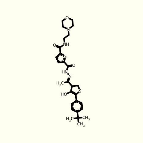 C/C(=N\NC(=O)c1ccc(C(=O)NCCN2CCOCC2)s1)C1CSC(c2ccc(C(C)(C)C)cc2)=C1O